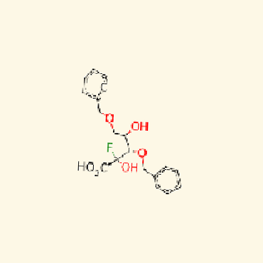 O=C(O)[C@@](O)(F)[C@@H](OCc1ccccc1)[C@H](O)COCc1ccccc1